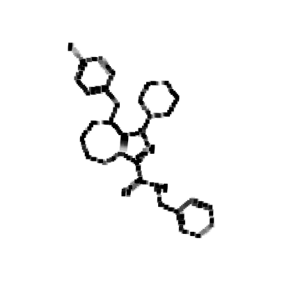 O=C(NCC1=CCCC=C1)c1nn(C2CCCCC2)c2c1CCCCC2Cc1ccc(F)cc1